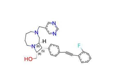 OC[C@H]1[C@@H](c2ccc(C#Cc3ccccc3F)cc2)[C@@H]2CN(Cc3cncnc3)CCCCN12